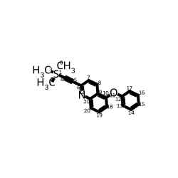 CS(C)(C)C#Cc1ccc2c(Oc3ccccc3)cccc2n1